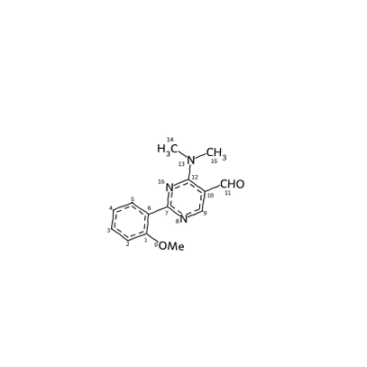 COc1ccccc1-c1ncc(C=O)c(N(C)C)n1